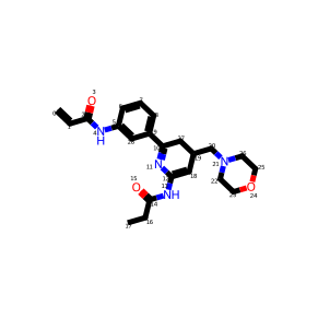 C=CC(=O)Nc1cccc(C2=NC(NC(=O)CC)=CC(CN3CCOCC3)C2)c1